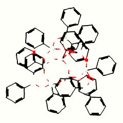 c1ccc([SiH](O[Si]2(c3ccccc3)O[Si]3(c4ccccc4)O[Si](O[SiH](c4ccccc4)c4ccccc4)(c4ccccc4)O[Si]4(c5ccccc5)O[Si](O[SiH](c5ccccc5)c5ccccc5)(c5ccccc5)O[Si](c5ccccc5)(O2)O[Si](c2ccccc2)(O3)O4)c2ccccc2)cc1